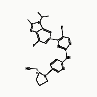 Cc1nc2c(F)cc(-c3nc(Nc4ccc(N5CCC[C@@H]5CO)cn4)ncc3F)cc2n1C(C)C